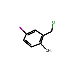 Cc1ccc(I)cc1CCl